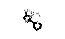 Cc1cnc(-c2ccccn2)n1C